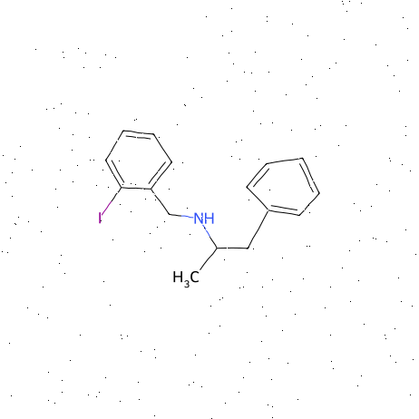 CC(Cc1ccccc1)NCc1ccccc1I